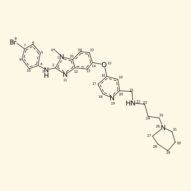 Cn1c(Nc2ccc(Br)cc2)nc2cc(Oc3ccnc(CNCCCN4CCCCC4)c3)ccc21